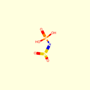 O=S(=O)=NP(=O)(O)O